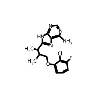 CC(COc1cccc(F)c1Cl)C(C)c1nc2c(N)ncnc2[nH]1